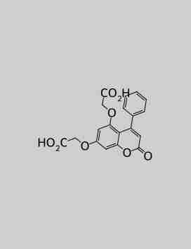 O=C(O)COc1cc(OCC(=O)O)c2c(-c3ccccc3)cc(=O)oc2c1